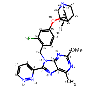 COc1nc(C)c2nc(-c3cccnn3)n(Cc3ccc(O[C@@H]4CN5CCC4CC5)cc3F)c2n1